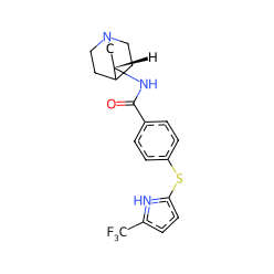 O=C(N[C@H]1CN2CCC1CC2)c1ccc(Sc2ccc(C(F)(F)F)[nH]2)cc1